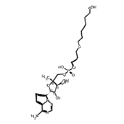 CCCCCCCCCCCCCCCCOCCCOP(=O)(O)OC[C@@]1(C)O[C@@H](c2ccc3c(N)ncnn23)[C@H](O)[C@@H]1O